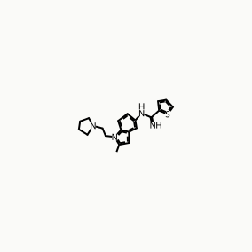 Cc1cc2cc(NC(=N)c3cccs3)ccc2n1CCN1CCCC1